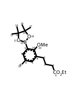 CCOC(=O)CCCc1cc(F)cc(B2OC(C)(C)C(C)(C)O2)c1OC